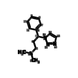 CN(C)CCC(c1ccccc1)n1ccnn1